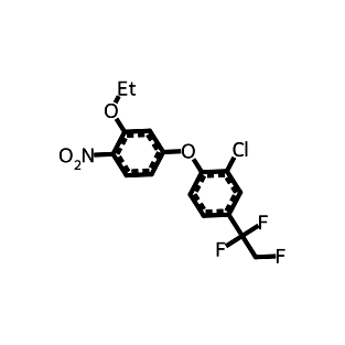 CCOc1cc(Oc2ccc(C(F)(F)CF)cc2Cl)ccc1[N+](=O)[O-]